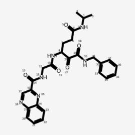 CC(C)NC(=O)CCC(NC(=O)CNC(=O)c1cnc2ccccc2n1)C(=O)C(=O)NCc1ccccc1